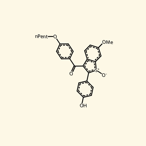 CCCCCOc1ccc(C(=O)c2c(-c3ccc(O)cc3)[s+]([O-])c3cc(OC)ccc23)cc1